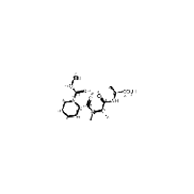 C[C@H](NC(=O)[C@H](C)N(C)C(=O)[C@@H]1CCCCN1C(=O)OC(C)(C)C)C(=O)O